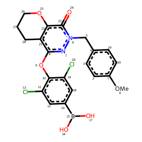 COc1ccc(Cn2nc(Oc3c(Cl)cc(B(O)O)cc3Cl)c3c(c2=O)OCCC3)cc1